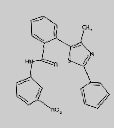 Cc1nc(-c2ccccc2)sc1-c1ccccc1C(=O)Nc1cccc([N+](=O)[O-])c1